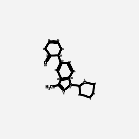 Cc1nn(C2CCCCO2)c2ccc(C3CC=CCC3=O)cc12